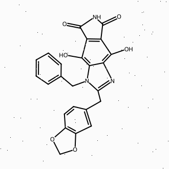 O=C1NC(=O)c2c1c(O)c1nc(Cc3ccc4c(c3)OCO4)n(Cc3ccccc3)c1c2O